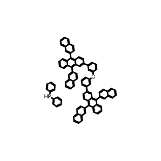 c1cc(Oc2cccc(-c3ccc4c(-c5ccc6ccccc6c5)c5ccccc5c(-c5ccc6ccccc6c5)c4c3)c2)cc(-c2ccc3c(-c4ccc5ccccc5c4)c4ccccc4c(-c4ccc5ccccc5c4)c3c2)c1.c1ccc(Pc2ccccc2)cc1